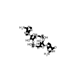 Nc1nc2c(ccn2[C@@H]2O[C@@H]3COP(=O)(O)OC4C(O)[C@H](n5cnc6c(N)ncnc65)O[C@@H]4OCP(=O)(O)OC2[C@H]3O)c(=O)[nH]1